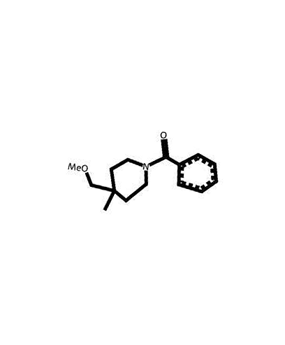 COCC1(C)CCN(C(=O)c2ccccc2)CC1